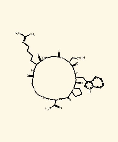 NC(=O)C1CSSCCC(=O)NC(CCCCN=C(N)N)C(=O)NCC(=O)NC(CC(=O)O)C(=O)NC(Cc2c[nH]c3ccccc23)C(=O)N2CCCC2C(=O)N1